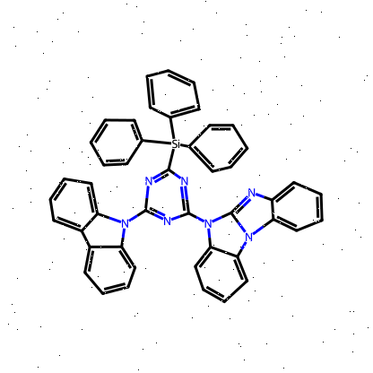 c1ccc([Si](c2ccccc2)(c2ccccc2)c2nc(-n3c4ccccc4c4ccccc43)nc(-n3c4ccccc4n4c5ccccc5nc34)n2)cc1